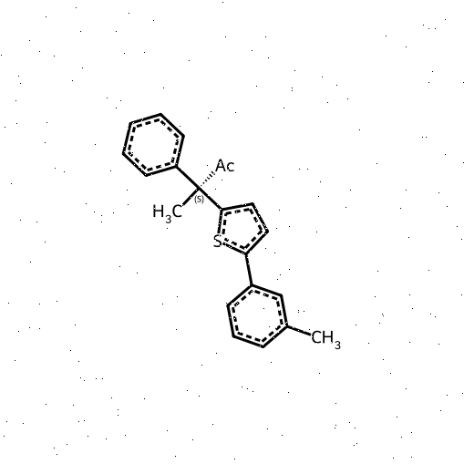 CC(=O)[C@](C)(c1ccccc1)c1ccc(-c2cccc(C)c2)s1